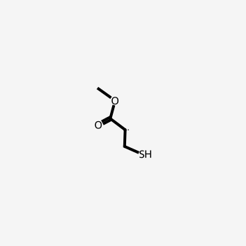 COC(=O)[CH]CS